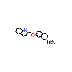 CCCCC1[C]c2cc(OCc3ccc4ccccc4n3)ccc2CC1